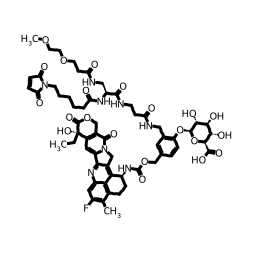 CC[C@@]1(O)C(=O)OCc2c1cc1n(c2=O)Cc2c-1nc1cc(F)c(C)c3c1c2[C@@H](NC(=O)OCc1ccc(O[C@@H]2O[C@H](C(=O)O)[C@@H](O)[C@H](O)[C@H]2O)c(CNC(=O)CCNC(=O)[C@H](CNC(=O)CCOCCOC)NC(=O)CCCCCN2C(=O)C=CC2=O)c1)CC3